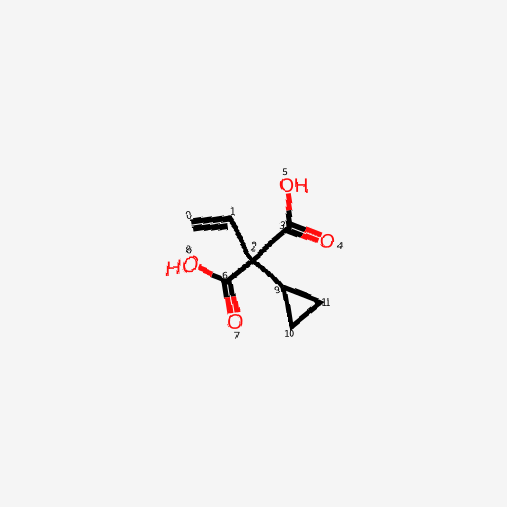 C=CC(C(=O)O)(C(=O)O)C1CC1